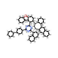 c1ccc(-c2ccc(-c3nc(-c4cccc5ccccc45)nc(-c4c(C5CCc6cc7ccccc7cc6-c6ccccc65)ccc5oc6ccccc6c45)n3)cc2)cc1